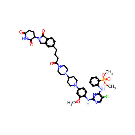 COc1cc(N2CCC(N3CCN(C(=O)CCCc4ccc5c(c4)CN(C4CCC(=O)NC4=O)C5=O)CC3)CC2)ccc1Nc1ncc(Cl)c(Nc2ccccc2P(=O)(OC)OC)n1